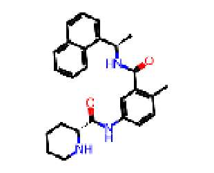 Cc1ccc(NC(=O)[C@H]2CCCCN2)cc1C(=O)N[C@H](C)c1cccc2ccccc12